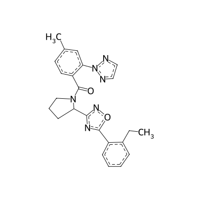 CCc1ccccc1-c1nc(C2CCCN2C(=O)c2ccc(C)cc2-n2nccn2)no1